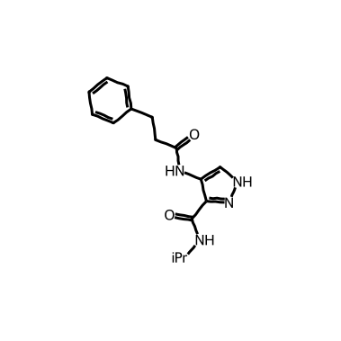 CC(C)NC(=O)c1n[nH]cc1NC(=O)CCc1ccccc1